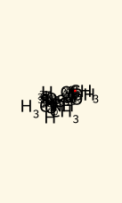 CC(=O)N[C@@H](CSCC1CC=C2C(=O)[C@](C)(O)C3(CC3)C(C)=C21)C(=O)N[C@@H](C)c1ccccc1